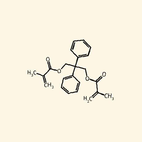 C=C(C)C(=O)OCC(COC(=O)C(=C)C)(c1ccccc1)c1ccccc1